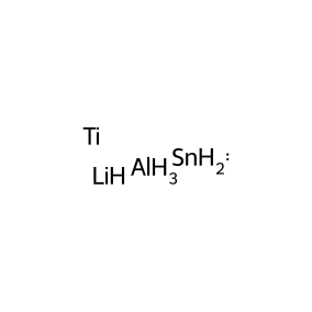 [AlH3].[LiH].[SnH2].[Ti]